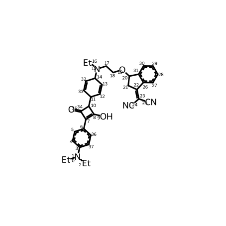 CCN(CC)c1ccc(C2=C(O)C(C3C=CC(N(CC)CCOC4CC(=C(C#N)C#N)c5ccccc54)C=C3)C2=O)cc1